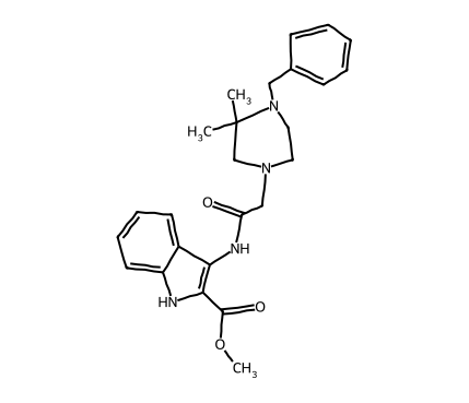 COC(=O)c1[nH]c2ccccc2c1NC(=O)CN1CCN(Cc2ccccc2)C(C)(C)C1